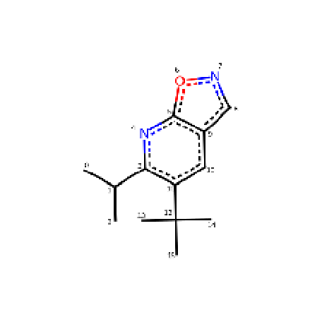 CC(C)c1nc2oncc2cc1C(C)(C)C